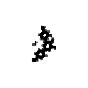 Cc1cc(-c2ccc(Br)cc2)cc(-c2ccc(Br)cc2)[n+]1C.[I-]